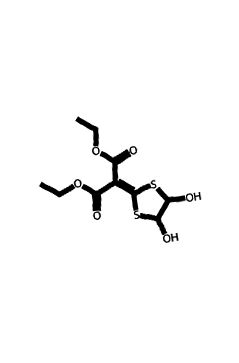 CCOC(=O)C(C(=O)OCC)=C1SC(O)C(O)S1